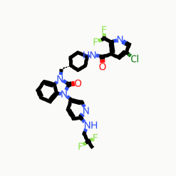 CC(F)(F)CNc1ccc(-n2c(=O)n(C[C@H]3CC[C@H](NC(=O)c4cc(Cl)cnc4C(F)F)CC3)c3ccccc32)cn1